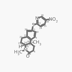 CN1C(=O)CC[C@]2(C)c3ccc(Sc4ccc([N+](=O)[O-])cn4)cc3CC[C@@H]12